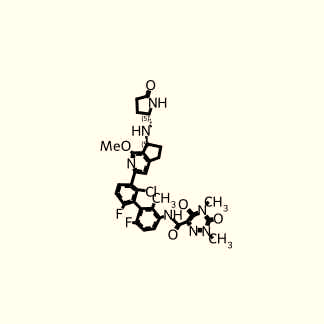 COc1nc(-c2ccc(F)c(-c3c(F)ccc(NC(=O)c4nn(C)c(=O)n(C)c4=O)c3C)c2Cl)cc2c1[C@@H](NC[C@@H]1CCC(=O)N1)CC2